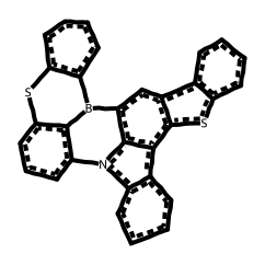 c1ccc2c(c1)Sc1cccc3c1B2c1cc2c4ccccc4sc2c2c4ccccc4n-3c12